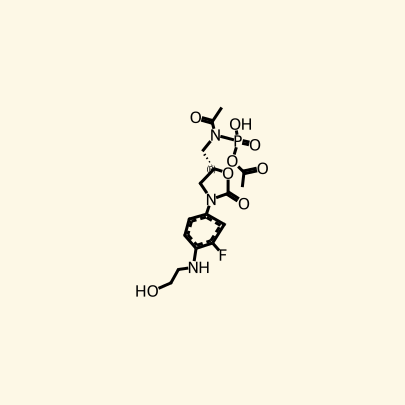 CC(=O)OP(=O)(O)N(C[C@H]1CN(c2ccc(NCCO)c(F)c2)C(=O)O1)C(C)=O